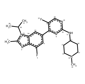 Cc1nc2c(F)cc(-c3nc(NC4CCN(C)CC4)ncc3F)cc2n1C(C)C